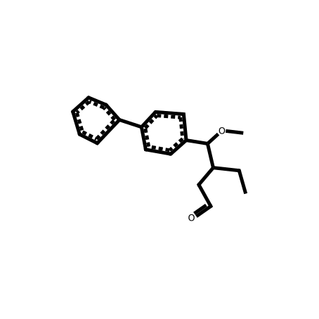 CCC(CC=O)C(OC)c1ccc(-c2ccccc2)cc1